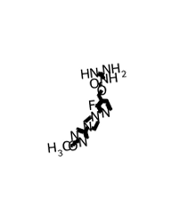 COc1ncc(N2CCN(c3nccc(COC(=O)NC(=N)N)c3F)CC2)cn1